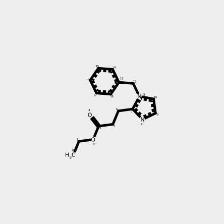 CCOC(=O)CCc1nccn1Cc1ccccc1